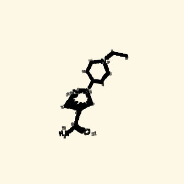 CCN1CCC(n2cc(C(N)=O)cn2)CC1